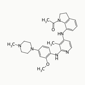 COc1cc(N2CCN(C)CC2)ccc1Nc1nccc(Nc2cccc3c2N(C(C)=O)CC3)c1C